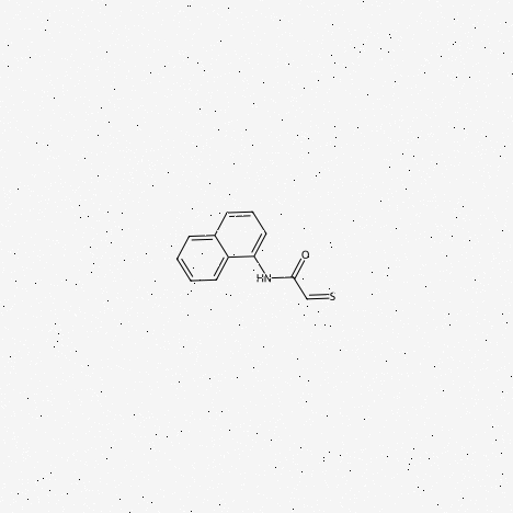 O=C(C=S)Nc1cccc2ccccc12